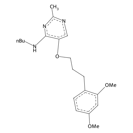 CCCCNc1nc(C)ncc1OCCCc1ccc(OC)cc1OC